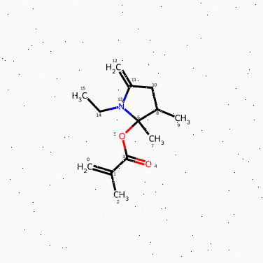 C=C(C)C(=O)OC1(C)C(C)CC(=C)N1CC